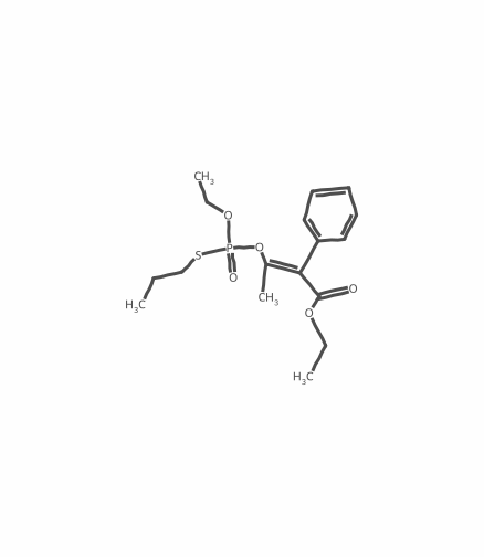 CCCSP(=O)(OCC)OC(C)=C(C(=O)OCC)c1ccccc1